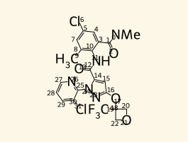 CNC(=O)c1cc(Cl)cc(C)c1NC(=O)c1cc(OC2(C(F)(F)F)COC2)nn1-c1ncccc1Cl